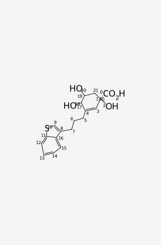 O=C(O)[C@]1(O)C=C(CCCc2csc3ccccc23)C(O)C(O)C1